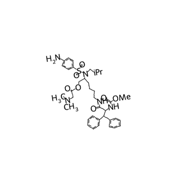 COC(=O)NC(C(=O)NCCCCC(COC(=O)CN(C)C)N(CC(C)C)S(=O)(=O)c1ccc(N)cc1)C(c1ccccc1)c1ccccc1